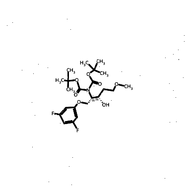 COCC[C@H](O)[C@H](COc1cc(F)cc(F)c1)N(C(=O)OC(C)(C)C)C(=O)OC(C)(C)C